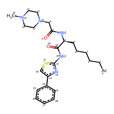 CC(=O)CCCCC[C@H](NC(=O)CN1CCN(C)CC1)C(=O)Nc1nc(-c2ccccc2)cs1